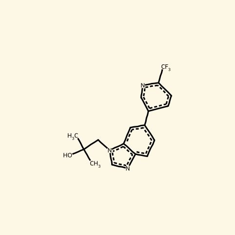 CC(C)(O)Cn1cnc2ccc(-c3ccc(C(F)(F)F)nc3)cc21